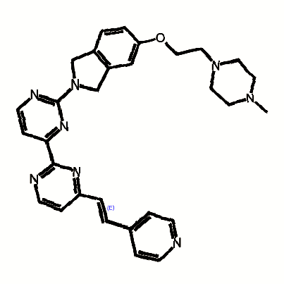 CN1CCN(CCOc2ccc3c(c2)CN(c2nccc(-c4nccc(/C=C/c5ccncc5)n4)n2)C3)CC1